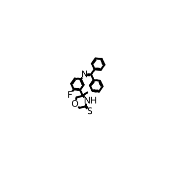 CC1(c2cc(N=C(c3ccccc3)c3ccccc3)ccc2F)COCC(=S)N1